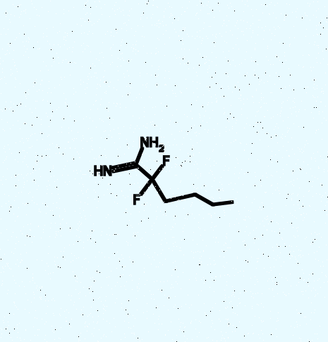 CCCCC(F)(F)C(=N)N